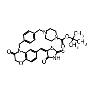 CC(C)(C)OC(=O)N1CCN(Cc2ccc(CN3C(=O)COc4ccc(/C=C5/SC(=S)NC5=O)cc43)cc2)CC1